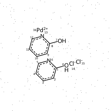 Oc1ccccn1.Oc1ccccn1.[Cl-].[Cl-].[Pd+2]